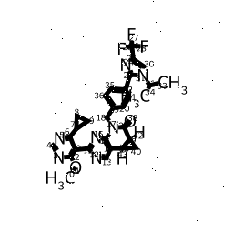 COc1ncnc(C2CC2)c1-c1ncc2c(n1)N(Cc1ccc(-c3nc(C(F)(F)F)cn3C(C)C)cc1)C(=O)[C@H]1C[C@@H]21